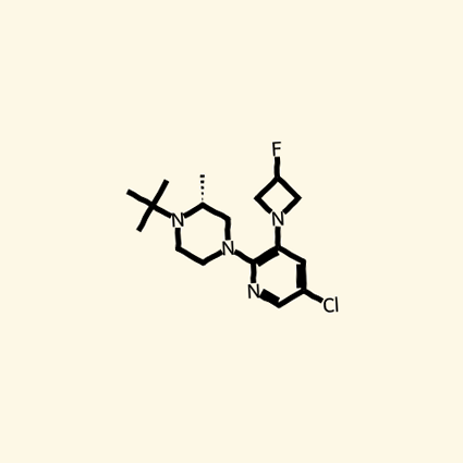 C[C@@H]1CN(c2ncc(Cl)cc2N2CC(F)C2)CCN1C(C)(C)C